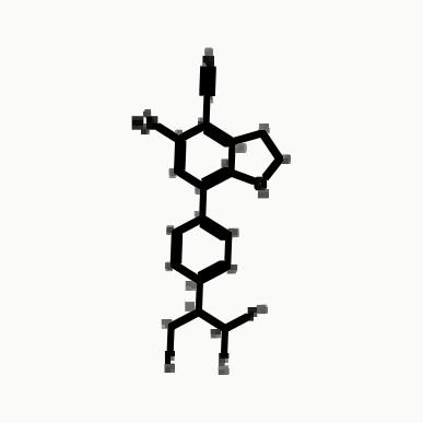 N#Cc1c(N)cc(-c2ccc(C(CF)C(F)F)cc2)c2c1CCO2